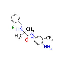 CC(C)(NCc1ccccc1Br)C(=O)Nc1ccc(N)c(C(F)(F)F)c1